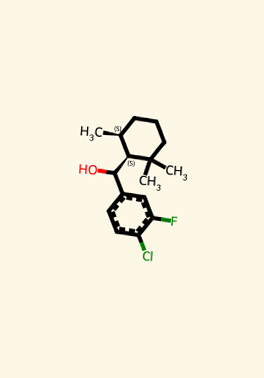 C[C@H]1CCCC(C)(C)[C@H]1C(O)c1ccc(Cl)c(F)c1